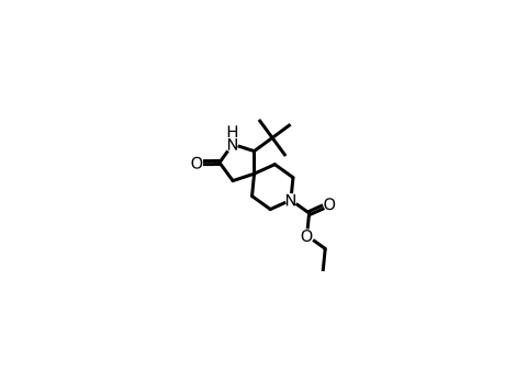 CCOC(=O)N1CCC2(CC1)CC(=O)NC2C(C)(C)C